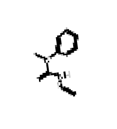 C=NNC(=C)N(C)C1=CC=C=C=C1